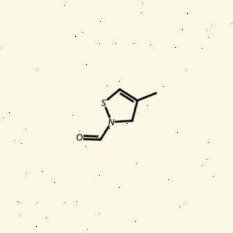 CC1=CSN(C=O)C1